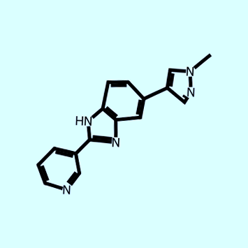 Cn1cc(-c2ccc3[nH]c(-c4cccnc4)nc3c2)cn1